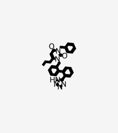 CCCc1cc(=O)n(Cc2ccccc2)c(=O)n1Cc1ccccc1-c1ccccc1-c1nnn[nH]1